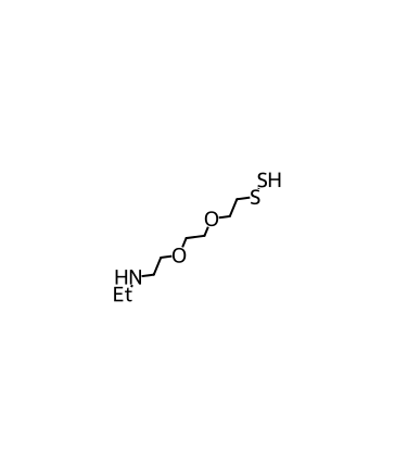 CCNCCOCCOCCSS